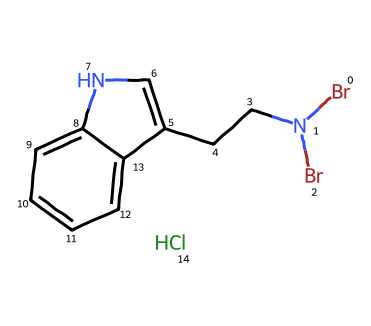 BrN(Br)CCc1c[nH]c2ccccc12.Cl